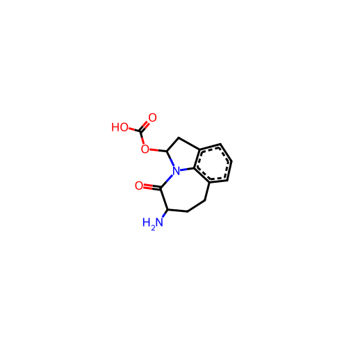 NC1CCc2cccc3c2N(C1=O)C(OC(=O)O)C3